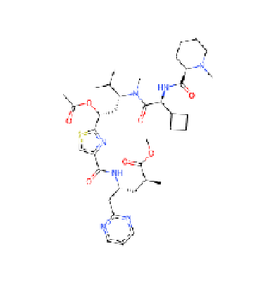 COC(=O)[C@@H](C)C[C@H](Cc1ncccn1)NC(=O)c1csc([C@@H](C[C@H](C(C)C)N(C)C(=O)[C@@H](NC(=O)[C@H]2CCCCN2C)C2CCC2)OC(C)=O)n1